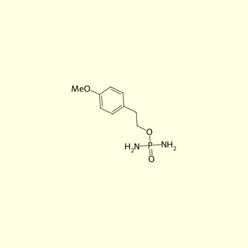 COc1ccc(CCOP(N)(N)=O)cc1